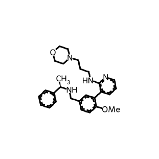 COc1ccc(CN[C@H](C)c2ccccc2)cc1-c1cccnc1NCCCN1CCOCC1